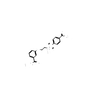 N=C(N)c1cccc(OCCNS(=O)(=O)c2ccc(C(N)=O)cc2)c1